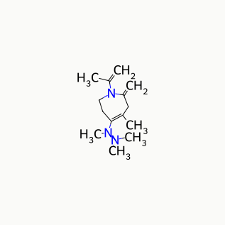 C=C(C)N1CCC(N(C)N(C)C)=C(C)CC1=C